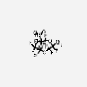 O=[SH](=O)C(F)(F)C(F)(F)OC(F)(C(F)(F)F)C(F)(F)OC(F)(Br)C(F)(F)Br